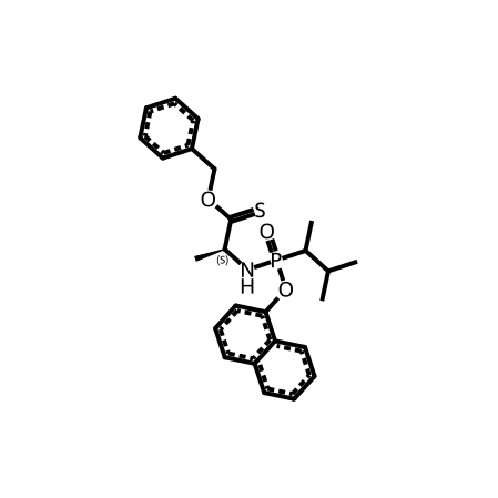 CC(C)C(C)P(=O)(N[C@@H](C)C(=S)OCc1ccccc1)Oc1cccc2ccccc12